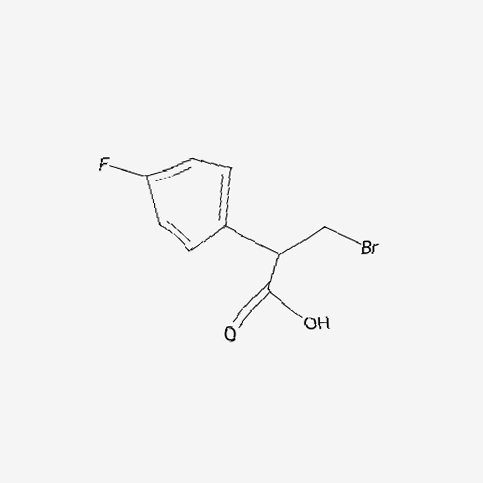 O=C(O)C(CBr)c1ccc(F)cc1